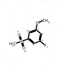 COc1cc(F)cc(S(C)(=O)=O)c1